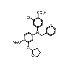 COc1ccc(N(Cc2cccnc2)c2ccc(C(=O)O)c(Cl)c2)cc1OC1CCCO1